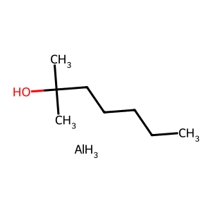 CCCCCC(C)(C)O.[AlH3]